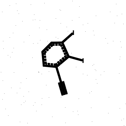 C#Cc1cccc(I)c1I